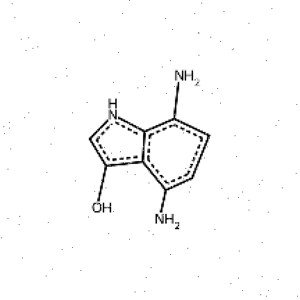 Nc1ccc(N)c2c(O)c[nH]c12